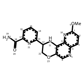 COc1ccc2ncc3c(c2n1)NC(c1cc[c]c(C(N)=O)n1)CO3